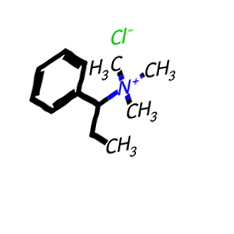 CCC(c1ccccc1)[N+](C)(C)C.[Cl-]